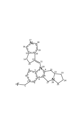 FCc1ccc2c(c1)c1c(n2/C=C2\CCc3cnccc32)CC2CCCN2C1